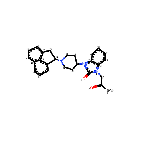 CNC(=O)Cn1c(=O)n(C2CCN([C@H]3Cc4cccc5cccc3c45)CC2)c2ccccc21